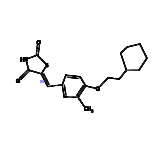 Cc1cc(/C=C2\SC(=O)NC2=O)ccc1OCCC1CCCCC1